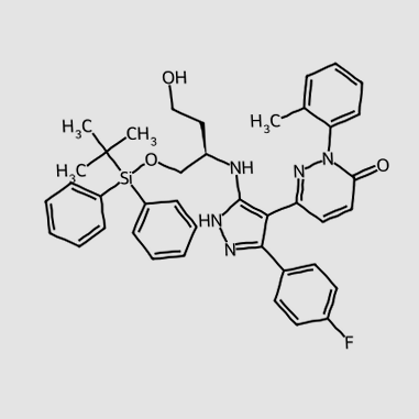 Cc1ccccc1-n1nc(-c2c(-c3ccc(F)cc3)n[nH]c2N[C@H](CCO)CO[Si](c2ccccc2)(c2ccccc2)C(C)(C)C)ccc1=O